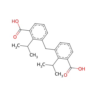 CC(C)c1c(Cc2cccc(C(=O)O)c2C(C)C)cccc1C(=O)O